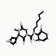 CCCCCCN(C(=O)N1CC(=O)N(C)C(c2cc[nH]c2)C1=O)C1=C(F)CC=CC1F